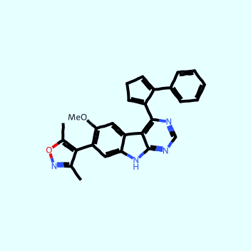 COc1cc2c(cc1-c1c(C)noc1C)[nH]c1ncnc(C3=CCC=C3c3ccccc3)c12